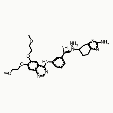 COCCOc1cc2ncnc(Nc3cccc(/C(N)=C/N(N)C4CCc5nc(N)sc5C4)c3)c2cc1OCCOC